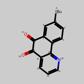 CC(C)(C)c1ccc2c(c1)C(=O)C(=O)c1cccnc1-2